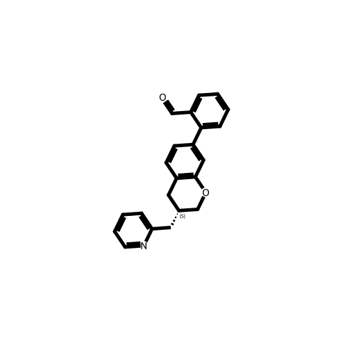 O=Cc1ccccc1-c1ccc2c(c1)OC[C@H](Cc1ccccn1)C2